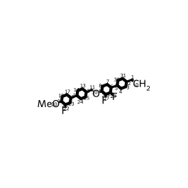 C=Cc1ccc(-c2ccc(OCc3ccc(-c4ccc(OC)c(F)c4)cc3)c(F)c2F)cc1